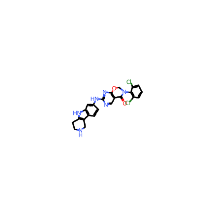 O=C1c2cnc(Nc3ccc4c5c([nH]c4c3)CCNC5)nc2OCN1c1c(Cl)cccc1Cl